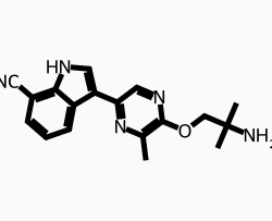 Cc1nc(-c2c[nH]c3c(C#N)cccc23)cnc1OCC(C)(C)N